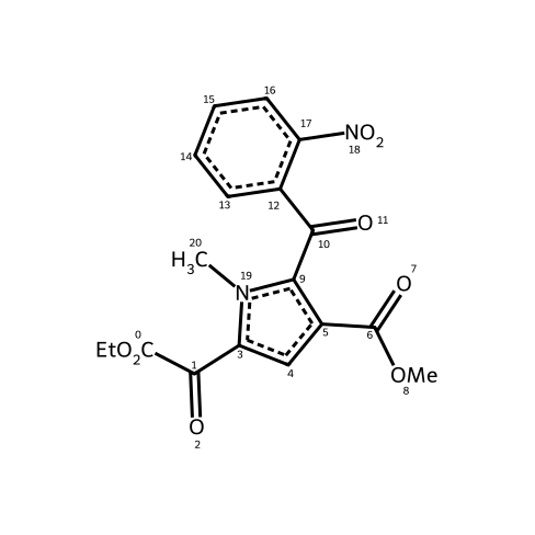 CCOC(=O)C(=O)c1cc(C(=O)OC)c(C(=O)c2ccccc2[N+](=O)[O-])n1C